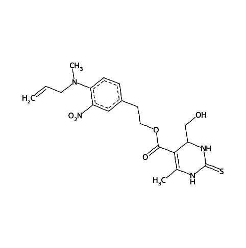 C=CCN(C)c1ccc(CCOC(=O)C2=C(C)NC(=S)NC2CO)cc1[N+](=O)[O-]